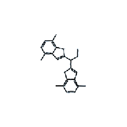 CCC(C1=Cc2c(C)ccc(C)c2[CH]1)C1=Cc2c(C)ccc(C)c2[CH]1